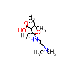 CCC(C)C(C(=O)O)C(C)C(=O)NCCCN(C)C